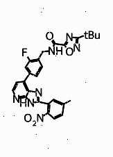 Cc1ccc([N+](=O)[O-])c(-c2nc3c(-c4ccc(CNC(=O)c5nc(C(C)(C)C)no5)c(F)c4)ccnc3[nH]2)c1